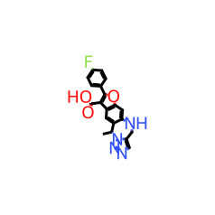 CC1c2cc3c(C(=O)O)c(-c4ccc(F)cc4)oc3cc2NCc2cnnn21